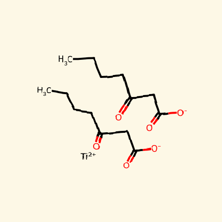 CCCCC(=O)CC(=O)[O-].CCCCC(=O)CC(=O)[O-].[Ti+2]